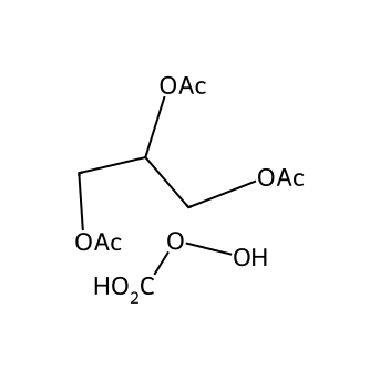 CC(=O)OCC(COC(C)=O)OC(C)=O.O=C(O)OO